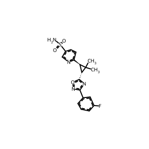 CC1(C)[C@H](c2ccc(S(N)(=O)=O)cn2)[C@H]1c1nc(-c2cccc(F)c2)no1